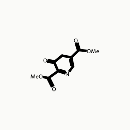 COC(=O)C1=CN=C(C(=O)OC)C(=O)C1